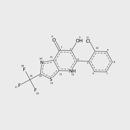 O=c1c(O)c(-c2ccccc2Cl)[nH]c2sc(C(F)(F)F)nc12